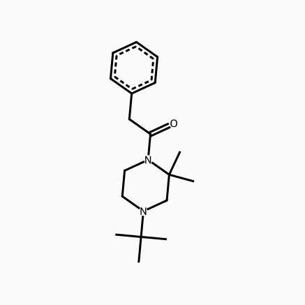 CC(C)(C)N1CCN(C(=O)Cc2ccccc2)C(C)(C)C1